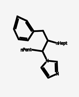 CCCCCCCC(Cc1ccccc1)C(CCCCC)n1ccnc1